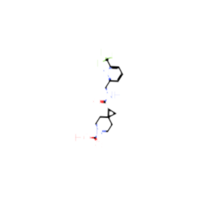 O=C(NCc1cccc(C(F)(F)F)n1)[C@H]1CC12CCN(C(=O)O)CC2